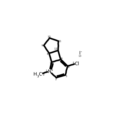 C[n+]1ccc(Cl)c2c1C1CCCC21.[I-]